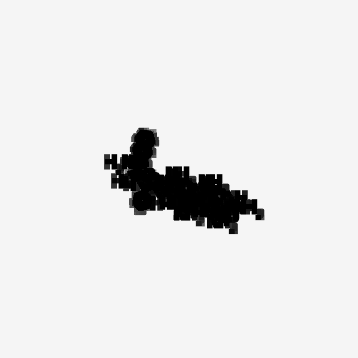 N=C(N)NC(NC(=O)C(NC(=N)N)NC(=O)C(NC(=N)N)NC(=O)C(NC(=N)N)NC(=O)C(NC(=O)C(CO)C1C=c2cc3ccccc3cc2=C1N)c1ccccc1)C(=O)NC(N)C(N)=O